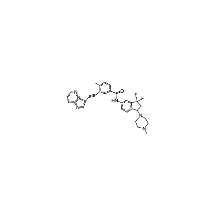 Cc1ccc(C(=O)Nc2ccc3c(c2)C(F)(F)CC3N2CCN(C)CC2)cc1C#Cc1cnc2cccnn12